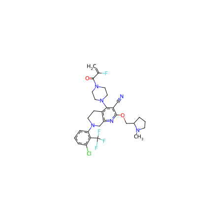 C=C(F)C(=O)N1CCN(c2c(C#N)c(OCC3CCCN3C)nc3c2CCN(c2cccc(Cl)c2C(F)(F)F)C3)CC1